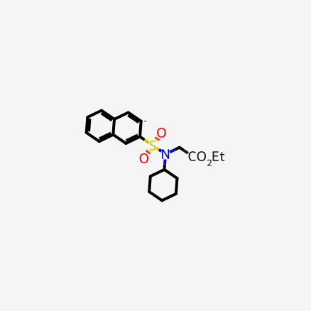 CCOC(=O)CN(C1CCCCC1)S(=O)(=O)c1[c]cc2ccccc2c1